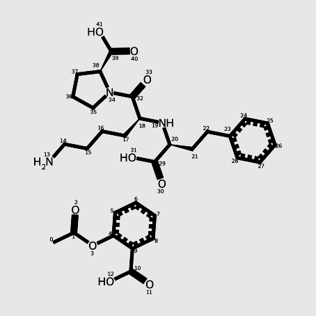 CC(=O)Oc1ccccc1C(=O)O.NCCCC[C@H](N[C@@H](CCc1ccccc1)C(=O)O)C(=O)N1CCC[C@H]1C(=O)O